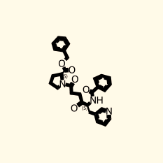 O=C(N[C@@H](Cc1cccnc1)C(=O)CCC(=O)N1CCC[C@H]1C(=O)OCc1ccccc1)c1ccccc1